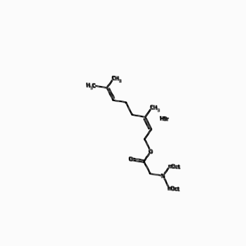 Br.CCCCCCCCN(CCCCCCCC)CC(=O)OCC=C(C)CCC=C(C)C